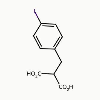 O=C(O)C(Cc1ccc(I)cc1)C(=O)O